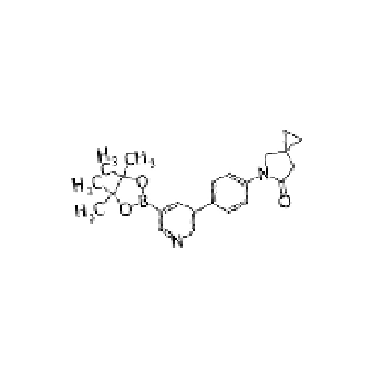 CC1(C)OB(c2cncc(-c3ccc(N4CC5(CC5)CC4=O)cc3)c2)OC1(C)C